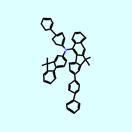 CC1(C)c2ccccc2-c2ccc(N(C3=CC=C(C4=CC=CCC4)CC3)c3c4c(cc5ccccc35)C(C)(C)c3cc(-c5ccc(-c6ccccc6)cc5)ccc3-4)cc21